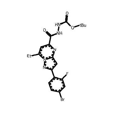 CCc1cc(C(=O)NNC(=O)OC(C)(C)C)nc2cc(-c3ccc(Br)cc3F)nn12